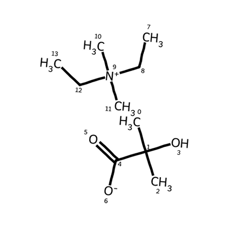 CC(C)(O)C(=O)[O-].CC[N+](C)(C)CC